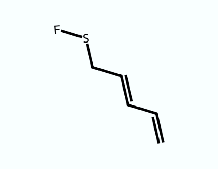 C=C/C=C/CSF